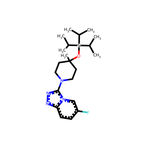 CC(C)[Si](OC1(C)CCN(c2nnc3ccc(F)cn23)CC1)(C(C)C)C(C)C